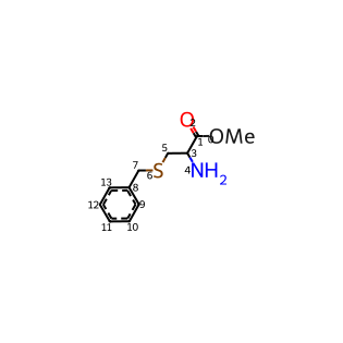 COC(=O)C(N)CSCc1ccccc1